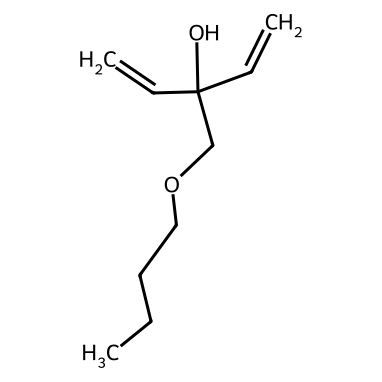 C=CC(O)(C=C)COCCCC